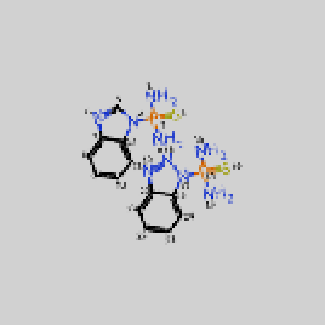 NP(N)(=S)n1cnc2ccccc21.NP(N)(=S)n1nnc2ccccc21